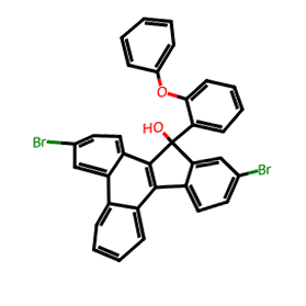 OC1(c2ccccc2Oc2ccccc2)c2cc(Br)ccc2-c2c1c1ccc(Br)cc1c1ccccc21